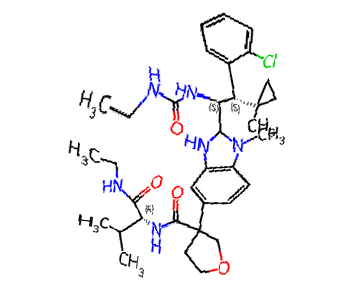 CCNC(=O)N[C@H](C1Nc2cc(C3(C(=O)N[C@@H](C(=O)NCC)C(C)C)CCOC3)ccc2N1C)[C@H](c1ccccc1Cl)C1(C)CC1